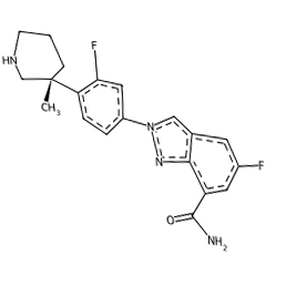 C[C@]1(c2ccc(-n3cc4cc(F)cc(C(N)=O)c4n3)cc2F)CCCNC1